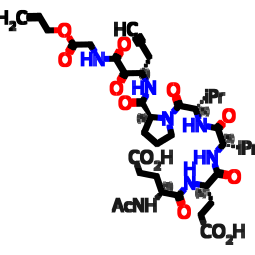 C#CC[C@H](NC(=O)[C@@H]1CCCN1C(=O)[C@@H](NC(=O)[C@@H](NC(=O)[C@H](CCC(=O)O)NC(=O)[C@H](CCC(=O)O)NC(C)=O)C(C)C)C(C)C)C(=O)C(=O)NCC(=O)OCC=C